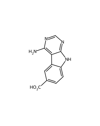 Nc1ncnc2[nH]c3ccc(C(=O)O)cc3c12